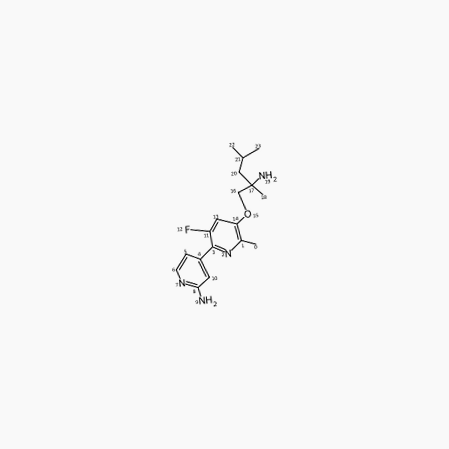 Cc1nc(-c2ccnc(N)c2)c(F)cc1OCC(C)(N)CC(C)C